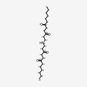 CCCCCCC(=O)CCC(=O)CCNCCC(=O)CCC(=O)CCCCCC